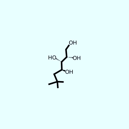 CC(C)(C)C[C@H](O)[C@H](O)[C@@H](O)CO